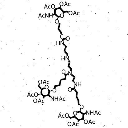 CC(=O)NC1C(OC(C)=O)[C@@H](OC(C)=O)C(COC(C)=O)O[C@H]1OCCCCC(=O)NCCCNCCCN(CCNC(=O)CCCCO[C@@H]1OC(COC(C)=O)[C@H](OC(C)=O)C(OC(C)=O)C1NC(C)=O)C(=O)CCCCO[C@@H]1OC(COC(C)=O)[C@H](OC(C)=O)C(OC(C)=O)C1NC(C)=O